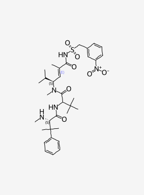 CN[C@H](C(=O)NC(C(=O)N(C)[C@H](/C=C(\C)C(=O)NS(=O)(=O)Cc1cccc([N+](=O)[O-])c1)C(C)C)C(C)(C)C)C(C)(C)c1ccccc1